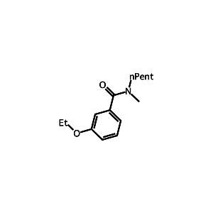 CCCCCN(C)C(=O)c1cccc(OCC)c1